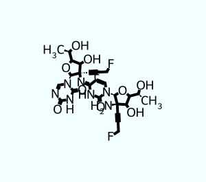 C[C@@H](O)C1O[C@@H](n2cc(F)/c(=N\[C@]3(C#CCF)C(O)C([C@@H](C)O)O[C@H]3n3cnc(=O)[nH]c3=O)[nH]c2=O)[C@@](N)(C#CCF)C1O